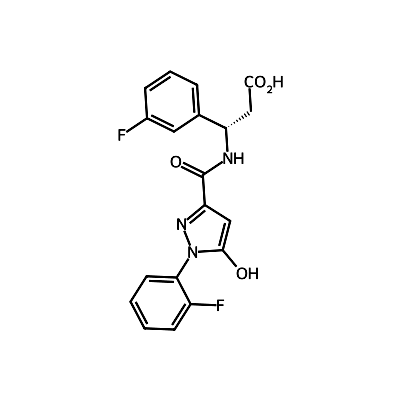 O=C(O)C[C@H](NC(=O)c1cc(O)n(-c2ccccc2F)n1)c1cccc(F)c1